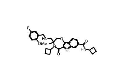 COc1ccc(F)cc1CNCC1(C)COc2c(oc3cc(C(=O)NC4CCC4)ccc23)C(=O)N1C1CCC1